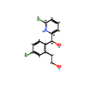 OCCc1cc(Cl)ccc1C(O)c1cccc(Cl)n1